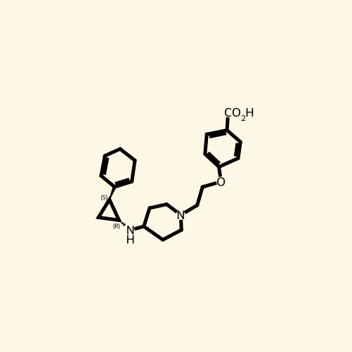 O=C(O)c1ccc(OCCN2CCC(N[C@@H]3C[C@H]3C3=CCCC=C3)CC2)cc1